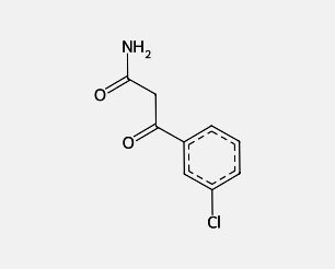 NC(=O)CC(=O)c1cccc(Cl)c1